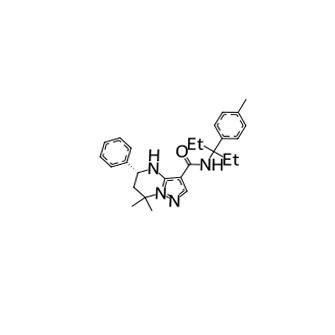 CCC(CC)(NC(=O)c1cnn2c1N[C@@H](c1ccccc1)CC2(C)C)c1ccc(C)cc1